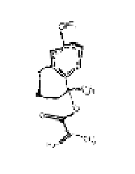 C=C(C)C(=O)OC1(C)CCCc2cc(C(F)(F)F)ccc21